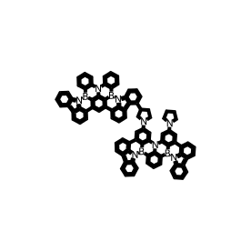 c1ccc2c(c1)B1c3c(cc4c5c3N2c2ccccc2B5n2c3cccc(C5CCN(c6cc7c8c(c6)N6c9cc(N%10CCCC%10)cc%10c9B(c9cccc(c96)B8n6c8ccccc8c8cccc-7c86)n6c7ccccc7c7cccc-%10c76)C5)c3c3cccc-4c32)-c2cccc3c4ccccc4n1c23